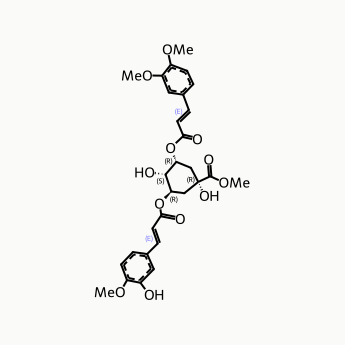 COC(=O)[C@@]1(O)C[C@@H](OC(=O)/C=C/c2ccc(OC)c(O)c2)[C@H](O)[C@H](OC(=O)/C=C/c2ccc(OC)c(OC)c2)C1